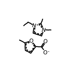 CC[n+]1ccn(C)c1C.Cc1ccc(C(=O)[O-])o1